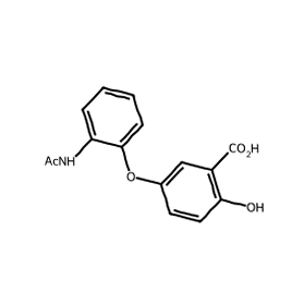 CC(=O)Nc1ccccc1Oc1ccc(O)c(C(=O)O)c1